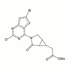 COC(=O)CC1C2CN(c3nc(Cl)nc4cc(Br)sc34)C(=O)C12